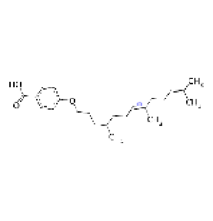 CC(C)=CCC/C(C)=C/CCC(C)CCCOc1ccc(C(=O)O)cc1